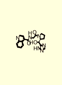 O=C(NCC(=O)N1CCC[C@H]1C(O)c1ncn[nH]1)c1ccnc2ccccc12